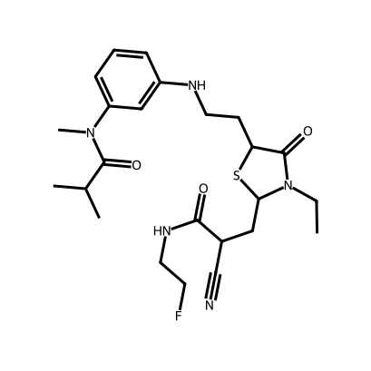 CCN1C(=O)C(CCNc2cccc(N(C)C(=O)C(C)C)c2)SC1CC(C#N)C(=O)NCCF